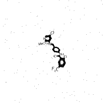 COc1ncc(Cl)cc1NCC1CCC(NC(=O)c2cc(C(F)(F)F)ccc2Cl)CC1